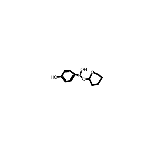 OB(OC1CCCCO1)c1ccc(O)cc1